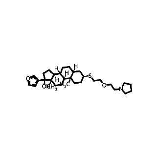 C[C@]12CC[C@H](SCCOCCN3CCCC3)C[C@H]1CC[C@@H]1[C@@H]2CC[C@@]2(C)[C@H]1CC[C@@]2(O)c1ccoc1